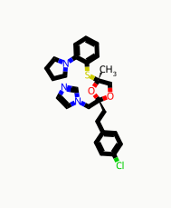 C[C@]1(Sc2ccccc2N2CCCC2)CO[C@](CCc2ccc(Cl)cc2)(Cn2ccnc2)O1